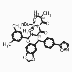 CCCCS(=O)(=O)N(C(=O)[C@H](C)N)C(=O)[C@H](C(c1ccc(-c2ccno2)cc1)c1ccc2c(c1)OCO2)N(C)C(=O)c1cc(C)cc(C)c1